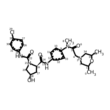 CC1CN(CC(=O)N(C)c2ccc(NC(=O)[C@H]3C[C@@H](O)CN3C(=O)Nc3ccc(Cl)cc3)cc2)CC(C)O1